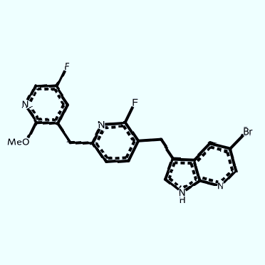 COc1ncc(F)cc1[CH]c1ccc(Cc2c[nH]c3ncc(Br)cc23)c(F)n1